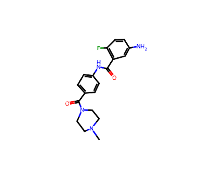 CN1CCN(C(=O)c2ccc(NC(=O)c3cc(N)ccc3F)cc2)CC1